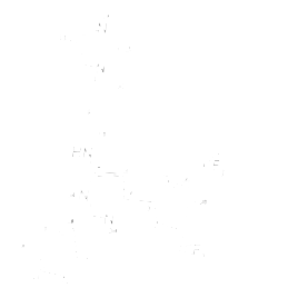 FC(F)(F)c1cc(-c2cc(NCCCn3ccnc3)nc(-c3ccccc3)n2)cc(C(F)(F)F)c1